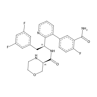 NC(=O)c1cc(-c2cccnc2[C@H](Cc2cc(F)cc(F)c2)NC(=O)[C@H]2COCCN2)ccc1F